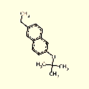 CCc1ccc2cc(OC(C)(C)C)ccc2c1